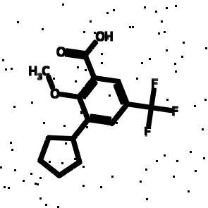 COc1c(C(=O)O)cc(C(F)(F)F)cc1C1CCCC1